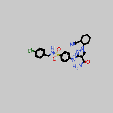 N#CC1CCCCC1n1cc(C(N)=O)c(Nc2ccc(S(=O)(=O)NCc3ccc(Cl)cc3)cc2)n1